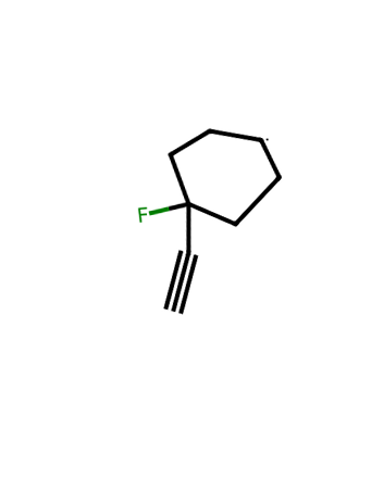 C#CC1(F)CC[CH]CC1